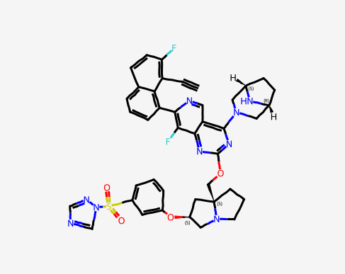 C#Cc1c(F)ccc2cccc(-c3ncc4c(N5C[C@H]6CC[C@@H](C5)N6)nc(OC[C@@]56CCCN5C[C@@H](Oc5cccc(S(=O)(=O)n7cncn7)c5)C6)nc4c3F)c12